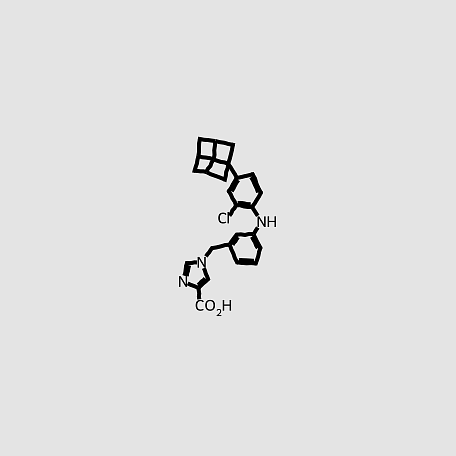 O=C(O)c1cn(Cc2cccc(Nc3ccc(C45CC6CC7CC(C4)C765)cc3Cl)c2)cn1